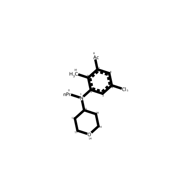 CCCN(c1cc(Cl)cc(C(C)=O)c1C)C1CCOCC1